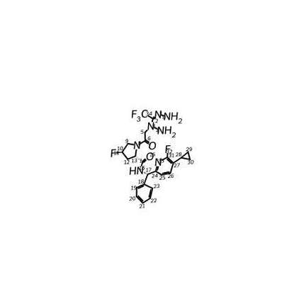 N/N=C(\N(N)CC(=O)N1C[C@H](F)C[C@H]1C(=O)N[C@@H](c1ccccc1)c1ccc(C2CC2)c(F)n1)C(F)(F)F